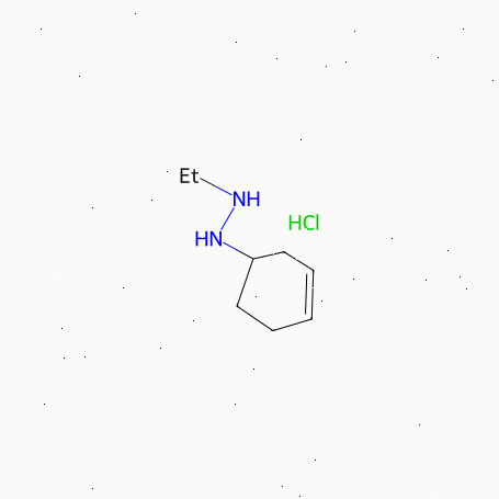 CCNNC1CC=CCC1.Cl